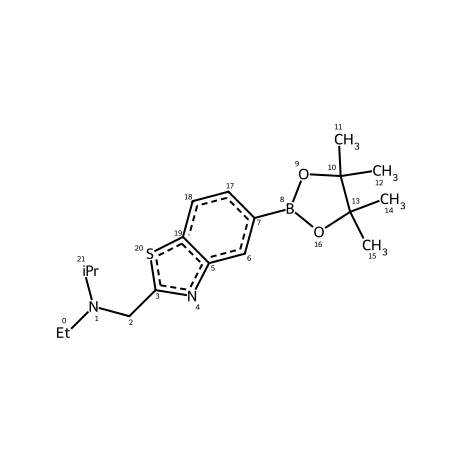 CCN(Cc1nc2cc(B3OC(C)(C)C(C)(C)O3)ccc2s1)C(C)C